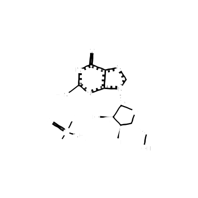 NP(=O)(O)O.Nc1nc2c(ncn2[C@@H]2O[C@H](CO)[C@@H](O)[C@H]2O)c(=O)[nH]1